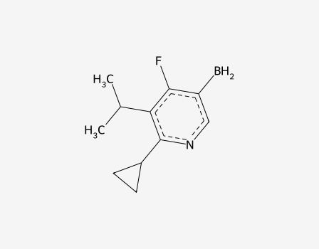 Bc1cnc(C2CC2)c(C(C)C)c1F